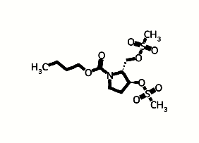 CCCCOC(=O)N1CC[C@H](OS(C)(=O)=O)[C@H]1COS(C)(=O)=O